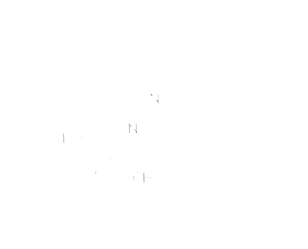 CC1C[N+]2(CCN(CCCc3ccccc3)CC2)C(Cl)C(C)C1=O